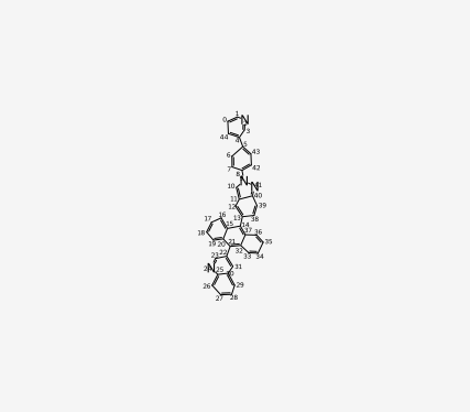 c1cncc(-c2ccc(-n3cc4cc(-c5c6ccccc6c(-c6cnc7ccccc7c6)c6ccccc56)ccc4n3)cc2)c1